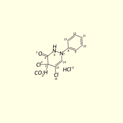 Cl.O=C(O)C1(Cl)C(=O)NN(c2ccccc2)C=C1Cl